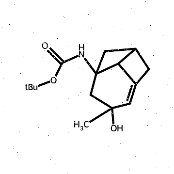 CC1(O)C=C2CC3CC(NC(=O)OC(C)(C)C)(C1)C23